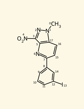 Cn1nc([N+](=O)[O-])c2nc(-c3cccc(I)c3)ccc21